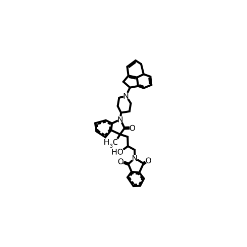 CC1(CC(O)CN2C(=O)c3ccccc3C2=O)C(=O)N(C2CCN(C3CC4=C5C3=CC=CC5CC=C4)CC2)c2ccccc21